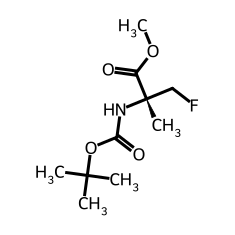 COC(=O)[C@](C)(CF)NC(=O)OC(C)(C)C